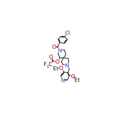 CCOc1cncc(OCC)c1CN1CCC2(CC1)CCN(C(=O)c1ccc(Cl)cc1)CC2OC(=O)C(F)(F)F